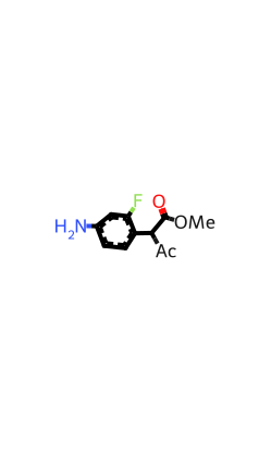 COC(=O)C(C(C)=O)c1ccc(N)cc1F